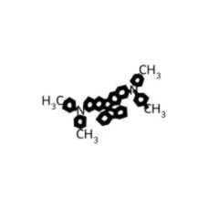 Cc1ccc(N(c2ccc(C)cc2)c2ccc3cc4c(cc3c2)C2(c3ccccc3-c3ccccc32)c2cc3cc(N(c5ccc(C)cc5)c5ccc(C)cc5)ccc3cc2-4)cc1